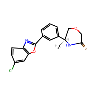 C[C@]1(c2cccc(-c3nc4ccc(Cl)cc4o3)c2)COCC(=S)N1